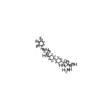 NC[C@H](NC(=O)c1ccc(-c2ccc(NC(=O)CNCc3ccc(F)c(F)c3F)cc2)cc1)C(=O)NO